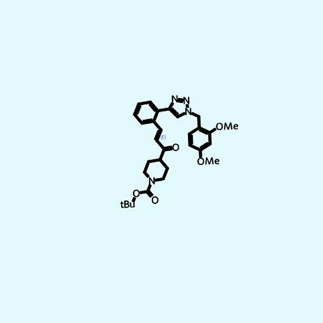 COc1ccc(Cn2cc(-c3ccccc3/C=C/C(=O)C3CCN(C(=O)OC(C)(C)C)CC3)nn2)c(OC)c1